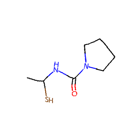 CC(S)NC(=O)N1CCCC1